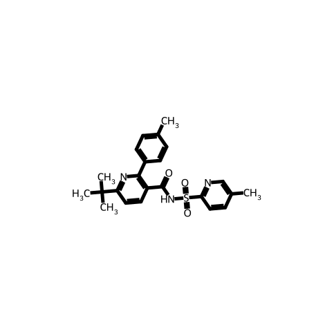 Cc1ccc(-c2nc(C(C)(C)C)ccc2C(=O)NS(=O)(=O)c2ccc(C)cn2)cc1